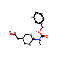 CN(C(=O)OCc1ccccc1)C1CCC(CC=O)CC1